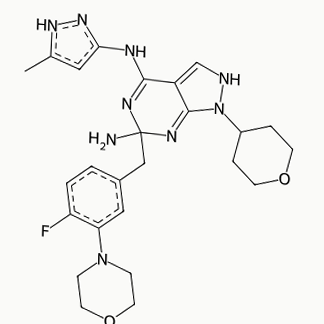 Cc1cc(NC2=NC(N)(Cc3ccc(F)c(N4CCOCC4)c3)N=C3C2=CNN3C2CCOCC2)n[nH]1